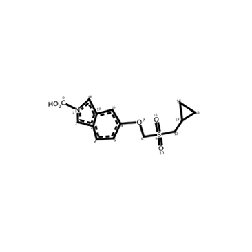 O=C(O)n1cc2ccc(OCS(=O)(=O)CC3CC3)cc2c1